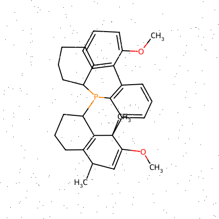 COC1=CC(C)C2=C3C(CCC2)P(C2CCCCC2)c2c(-c4ccccc4OC)cccc2C13C